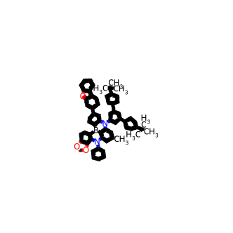 Cc1cc2c3c(c1)N(c1ccccc1)c1c(ccc4c1OCO4)B3c1ccc(-c3ccc4c(c3)oc3ccccc34)cc1N2c1cc(-c2ccc(C(C)(C)C)cc2)cc(-c2ccc(C(C)(C)C)cc2)c1